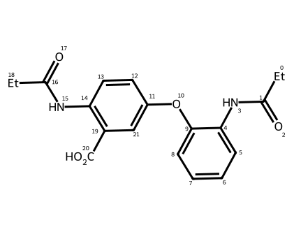 CCC(=O)Nc1ccccc1Oc1ccc(NC(=O)CC)c(C(=O)O)c1